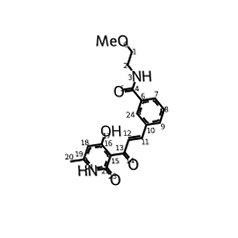 COCCNC(=O)c1cccc(/C=C/C(=O)c2c(O)cc(C)[nH]c2=O)c1